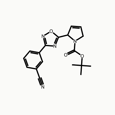 CC(C)(C)OC(=O)N1CC=CC1c1nc(-c2cccc(C#N)c2)no1